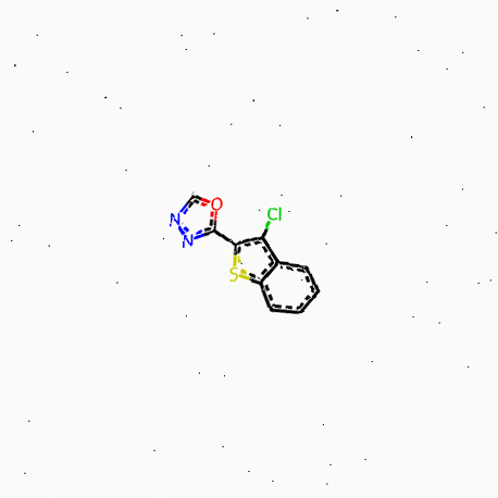 Clc1c(-c2nn[c]o2)sc2ccccc12